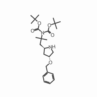 CC(C)(C)OC(=O)N(C(=O)OC(C)(C)C)C(C)(C)C[C@@H]1C[C@@H](OCc2ccccc2)CN1